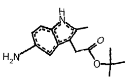 Cc1[nH]c2ccc(N)cc2c1CC(=O)OC(C)(C)C